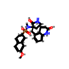 COc1ccc2ccc(S(=O)(=O)N(C)[C@@]3(Cc4cccc5[nH]c(=O)ccc45)CCNC3=O)cc2c1